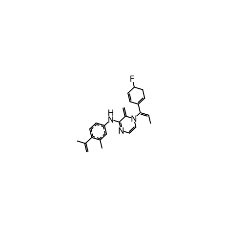 C=C(C)c1ccc(NC2=NC=CN(/C(=C\C)C3=CCC(F)C=C3)C2=C)cc1C